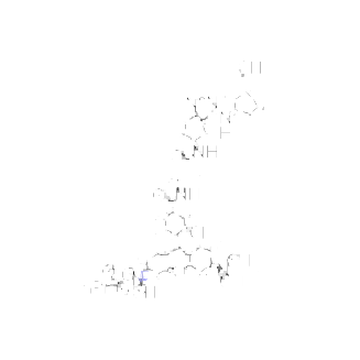 C#Cc1cccc(Nc2ncnc3ccc(NC(=O)CCNC(=O)c4ccc(-c5c6cc/c(=[N+](/C)OS(=O)(=O)CCC)cc-6oc6cc(N(C)C)ccc56)c(C)c4)cc23)c1